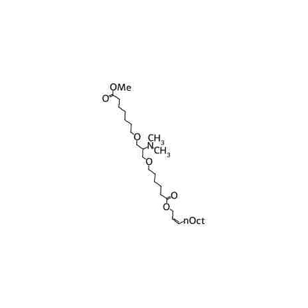 CCCCCCCC/C=C\COC(=O)CCCCCOCC(COCCCCCCC(=O)OC)N(C)C